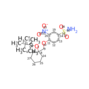 CC(C)(C)[Si](C)(C)OC1(COc2ccc(S(N)(=O)=O)cc2[N+](=O)[O-])CCCCC1